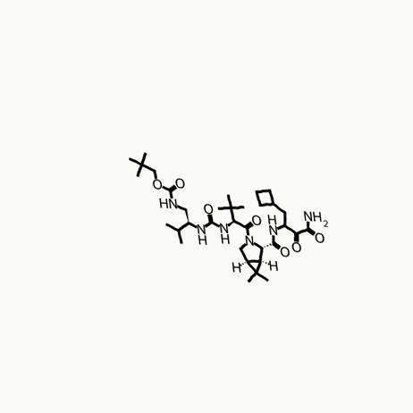 CC(C)[C@@H](CNC(=O)OCC(C)(C)C)NC(=O)N[C@H](C(=O)N1C[C@H]2[C@@H]([C@H]1C(=O)NC(CC1CCC1)C(=O)C(N)=O)C2(C)C)C(C)(C)C